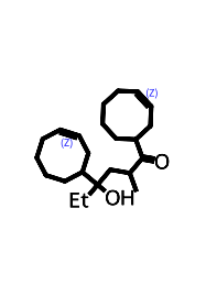 CCC(O)(CC(C)C(=O)C1C/C=C\CCCC1)C1C/C=C\CCCC1